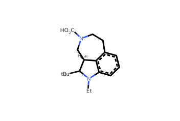 CCN1c2cccc3c2[C@H](CN(C(=O)O)CC3)C1C(C)(C)C